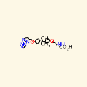 CC(C)(c1ccc(OCCCNC(=O)O)cc1)c1ccc(OCc2ccnc(-n3ccnn3)n2)cc1